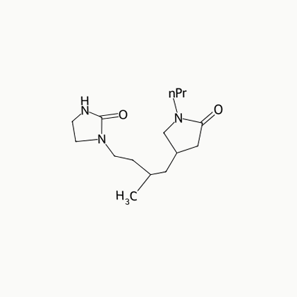 CCCN1CC(CC(C)CCN2CCNC2=O)CC1=O